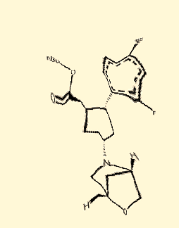 CCCCOC(=O)[C@@H]1C[C@@H](N2C[C@@H]3C[C@H]2CO3)C[C@H]1c1ccc(F)cc1F